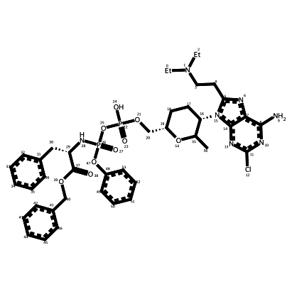 CCN(CC)CCc1nc2c(N)nc(Cl)nc2n1[C@H]1CC[C@@H](COP(=O)(O)OP(=O)(N[C@@H](Cc2ccccc2)C(=O)OCc2ccccc2)Oc2ccccc2)OC1C